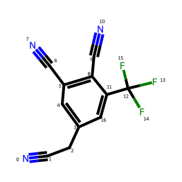 N#CCc1cc(C#N)c(C#N)c(C(F)(F)F)c1